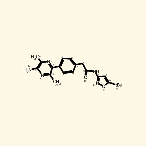 Cc1nc(-c2ccc(CC(=O)Nc3cc(C(C)(C)C)on3)cc2)c(C)nc1N